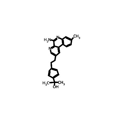 Cc1ccc2c(c1)nc(N)c1ncc(CCc3ccc(C(C)(C)O)cc3)cc12